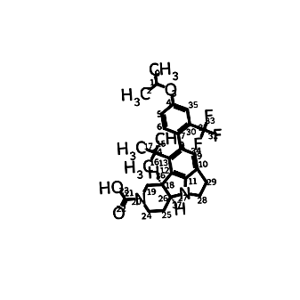 CC(C)Oc1ccc(-c2cc3c4c(c2C(C)(C)C)[C@@H]2CN(C(=O)O)CC[C@@H]2N4CC3)c(C(F)(F)F)c1